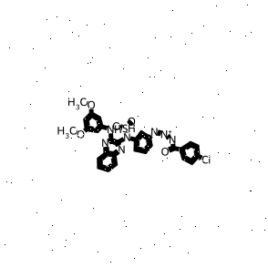 COc1cc(Nc2nc3ccccc3nc2N(c2cccc(N=[N+]=NC(=O)c3ccc(Cl)cc3)c2)[SH](=O)=O)cc(OC)c1